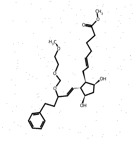 COCCOCOC(C=C[C@@H]1[C@@H](CC=CCCCC(=O)OC)[C@@H](O)C[C@H]1O)CCc1ccccc1